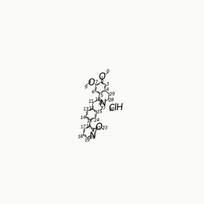 COc1cc2c(cc1OC)C(Cc1ccc(-c3cccnc3OC)cc1)N(C)CC2.Cl